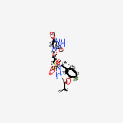 CC(C)COc1cc([C@@H](C)NS(=O)(=O)/C=C/COCN2CC(=O)NC2=O)ccc1F